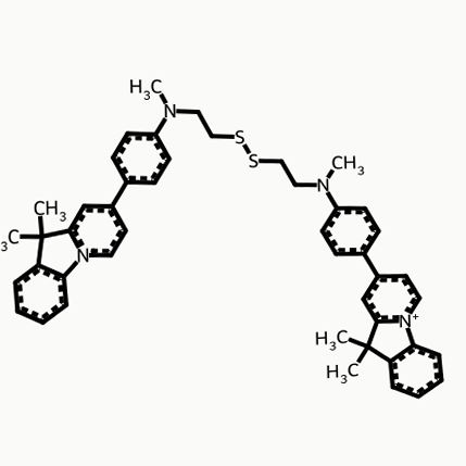 CN(CCSSCCN(C)c1ccc(-c2cc[n+]3c(c2)C(C)(C)c2ccccc2-3)cc1)c1ccc(-c2cc[n+]3c(c2)C(C)(C)c2ccccc2-3)cc1